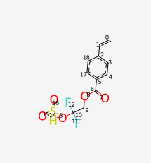 C=Cc1ccc(C(=O)OCC(F)(F)O[SH](=O)=O)cc1